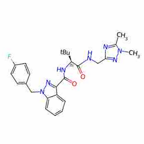 Cc1nc(CNC(=O)[C@@H](NC(=O)c2nn(Cc3ccc(F)cc3)c3ccccc23)C(C)(C)C)nn1C